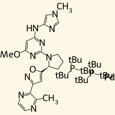 CC(C)(C)P(C(C)(C)C)C(C)(C)C.CC(C)(C)P(C(C)(C)C)C(C)(C)C.COc1cc(Nc2cn(C)cn2)nc(N2CCC[C@H]2c2cc(-c3nccnc3C)no2)n1.[Pd]